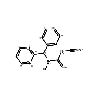 CN(C(=N)NC#N)C(c1ccccc1)c1ccccn1